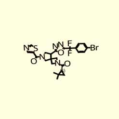 CC1(C)C[C@@H]1C(=O)N1CC2(CN(C(=O)c3cncs3)CC2c2nnc(C(F)(F)c3ccc(Br)cc3)o2)C1